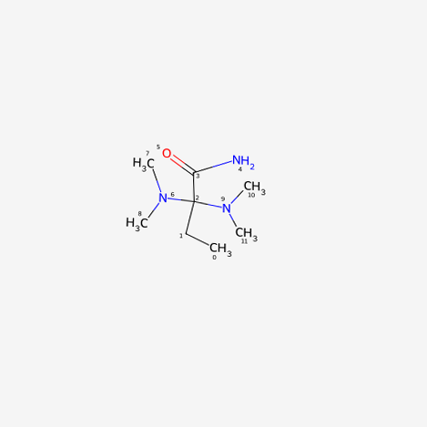 CCC(C(N)=O)(N(C)C)N(C)C